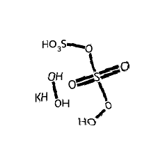 O=S(=O)(O)OS(=O)(=O)OO.OO.[KH]